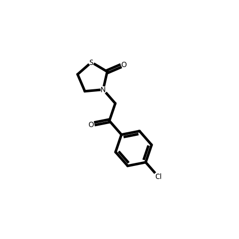 O=C(CN1CCSC1=O)c1ccc(Cl)cc1